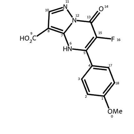 COc1ccc(-c2[nH]c3c(C(=O)O)cnn3c(=O)c2F)cc1